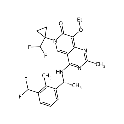 CCOc1c(=O)n(C2(C(F)F)CC2)cc2c(N[C@H](C)c3cccc(C(F)F)c3C)nc(C)nc12